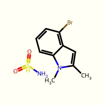 Cc1cc2c(Br)cccc2n1C.N[SH](=O)=O